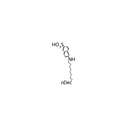 CCCCCCCCCCCCCCCCCCNc1ccc2cc(S(=O)(=O)O)ccc2c1